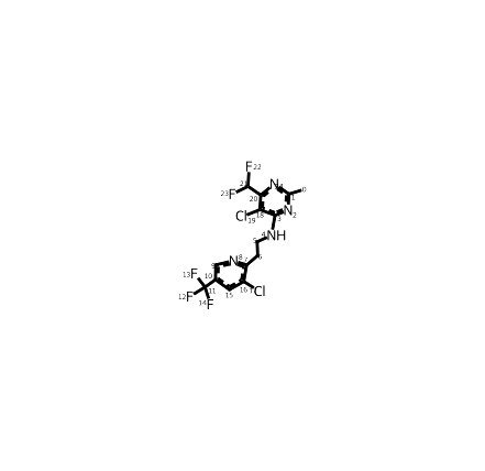 Cc1nc(NCCc2ncc(C(F)(F)F)cc2Cl)c(Cl)c(C(F)F)n1